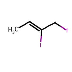 CC=C(I)[CH]I